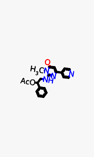 CC(=O)OC(CNc1nc(-c2ccncc2)cc(=O)n1C)c1ccccc1